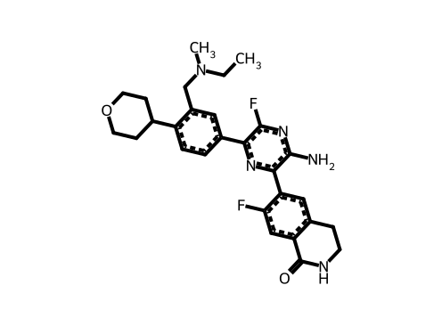 CCN(C)Cc1cc(-c2nc(-c3cc4c(cc3F)C(=O)NCC4)c(N)nc2F)ccc1C1CCOCC1